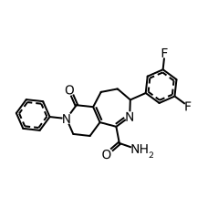 NC(=O)C1=NC(c2cc(F)cc(F)c2)CCC2=C1CCN(c1ccccc1)C2=O